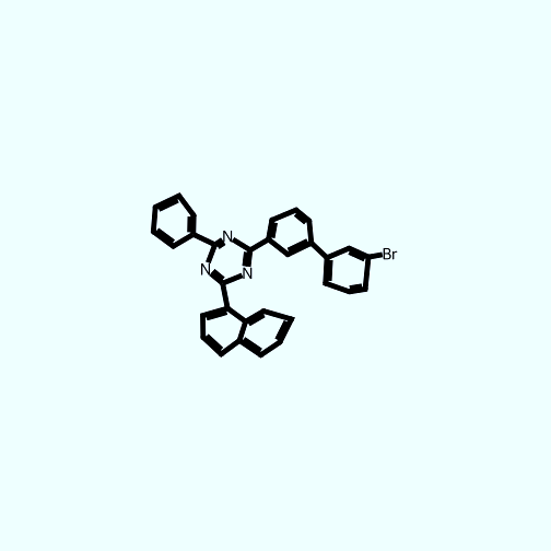 Brc1cccc(-c2cccc(-c3nc(-c4ccccc4)nc(-c4cccc5ccccc45)n3)c2)c1